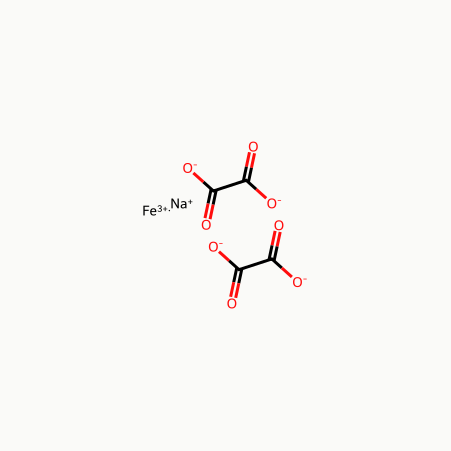 O=C([O-])C(=O)[O-].O=C([O-])C(=O)[O-].[Fe+3].[Na+]